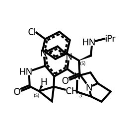 CC(C)NC[C@@H](C(=O)N1C2CCC1CN(c1ncnc3c1C1(C)C[C@@H]1C(=O)N3)C2)c1ccc(Cl)cc1